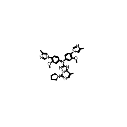 COc1cc(N(c2ccc(-n3cnc(C)c3)c(OC)c2)c2nc3c(C)cnc(N4CCCC4)n3n2)ccc1-n1cnc(C)c1